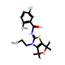 COCCn1c2c(sc1=NC(=O)c1cc(Cl)ccc1OC)C(C)(C)OC2(C)C